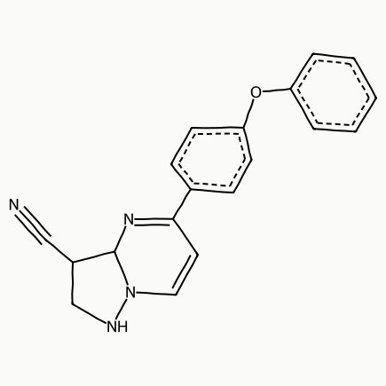 N#CC1CNN2C=CC(c3ccc(Oc4ccccc4)cc3)=NC12